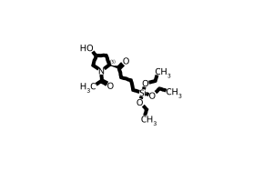 CCO[Si](CCCC(=O)[C@@H]1CC(O)CN1C(C)=O)(OCC)OCC